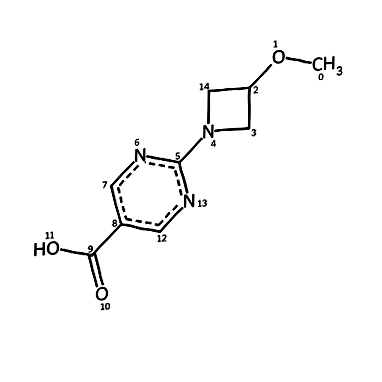 COC1CN(c2ncc(C(=O)O)cn2)C1